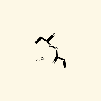 C=CC(=O)OOC(=O)C=C.[Zn].[Zn]